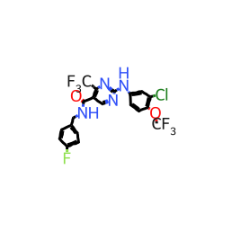 O=C(NCc1ccc(F)cc1)c1cnc(Nc2ccc(OC(F)(F)F)c(Cl)c2)nc1C(F)(F)F